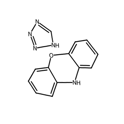 c1ccc2c(c1)Nc1ccccc1O2.c1nnn[nH]1